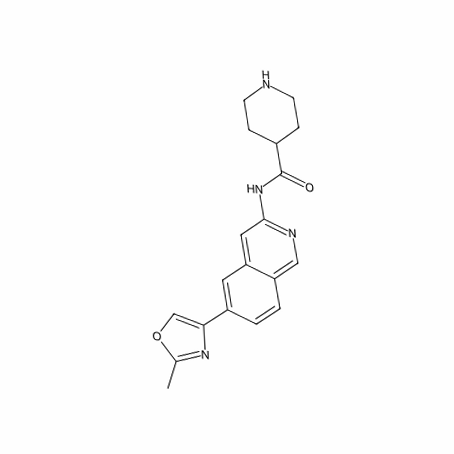 Cc1nc(-c2ccc3cnc(NC(=O)C4CCNCC4)cc3c2)co1